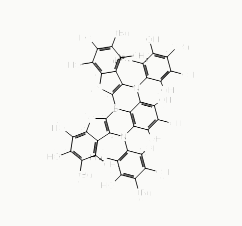 CCCCCCc1c(O)c(C(C)(C)C)c(O)c(O)c1N1c2c(O)c(C)c(O)c3c2B(c2oc4c(O)c(O)c(C(C)(C)C)c(C)c4c2N3c2c(C)c(O)c(C(C)(C)C)c(O)c2O)c2sc3c(O)c(O)c(C(C)(C)C)c(C)c3c21